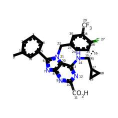 Cc1cccc(-c2nc3nc(C(=O)O)nc(N[C@H](C)C4CC4)c3n2Cc2ccc(F)c(C(F)(F)F)c2)c1